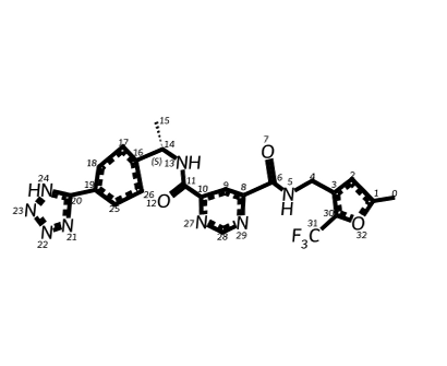 Cc1cc(CNC(=O)c2cc(C(=O)N[C@@H](C)c3ccc(-c4nnn[nH]4)cc3)ncn2)c(C(F)(F)F)o1